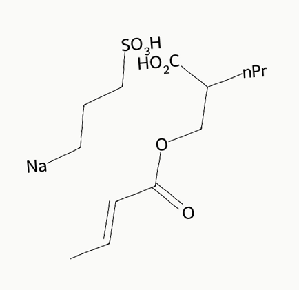 CC=CC(=O)OCC(CCC)C(=O)O.O=S(=O)(O)CC[CH2][Na]